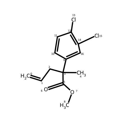 C=CCC(C)(C(=O)OC)c1ccc(Cl)c(Cl)c1